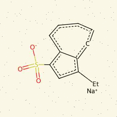 CCc1cc(S(=O)(=O)[O-])c2cccccc1-2.[Na+]